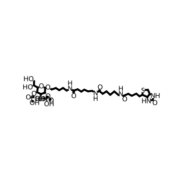 O=C(CCCCCNC(=O)CCCCCNC(=O)CCCCC1SCC2NC(=O)NC21)NCCCCCO[C@H]1OC([C@@H](O)CO)[C@@H](OP(=O)(O)O)C(O)C1OP(=O)(O)O